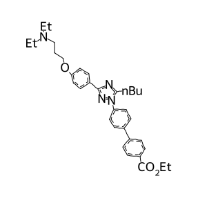 CCCCc1nc(-c2ccc(OCCCN(CC)CC)cc2)nn1-c1ccc(-c2ccc(C(=O)OCC)cc2)cc1